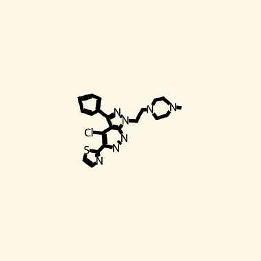 CN1CCN(CCn2nc(-c3ccccc3)c3c(Cl)c(-c4nccs4)nnc32)CC1